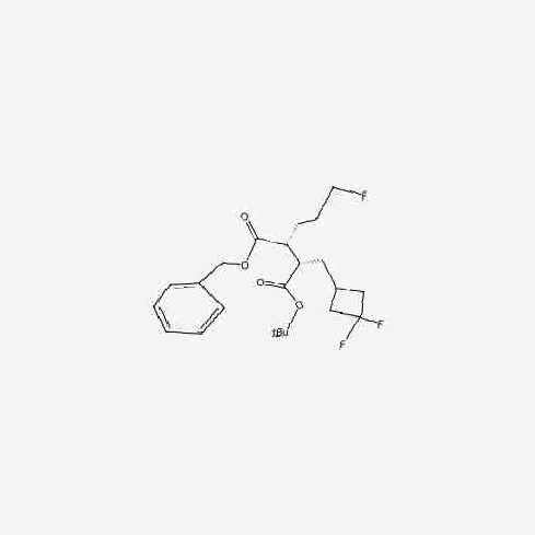 CC(C)(C)OC(=O)[C@@H](CC1CC(F)(F)C1)[C@@H](CCCF)C(=O)OCc1ccccc1